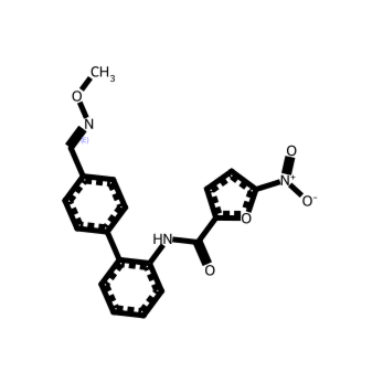 CO/N=C/c1ccc(-c2ccccc2NC(=O)c2ccc([N+](=O)[O-])o2)cc1